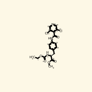 CCOC(=O)N[C@@H](Cc1ccc(NC(=O)c2c(Cl)cncc2Cl)cc1)C(=O)OC